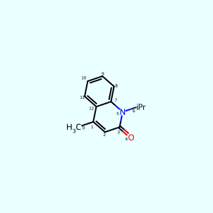 Cc1cc(=O)n(C(C)C)c2ccccc12